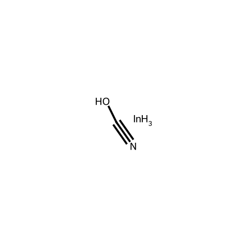 N#CO.[InH3]